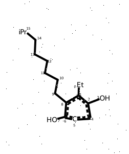 CCc1c(O)ccc(O)c1CCCCCCC(C)C